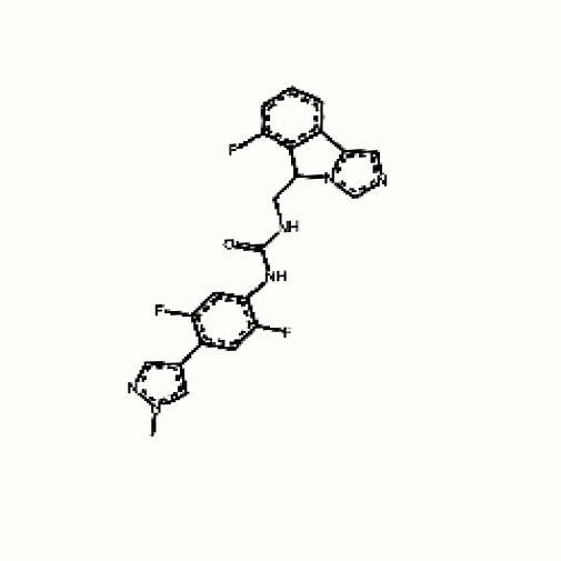 Cn1cc(-c2cc(F)c(NC(=O)NCC3c4c(F)cccc4-c4cncn43)cc2F)cn1